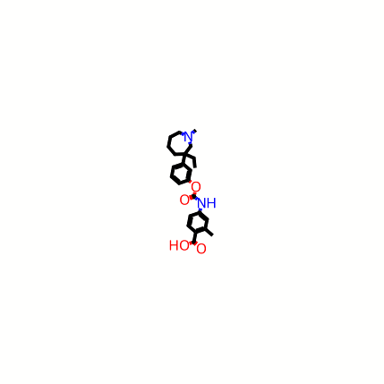 CCC1(c2cccc(OC(=O)Nc3ccc(C(=O)O)c(C)c3)c2)CCCCN(C)C1